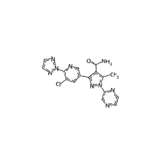 NC(=O)c1c(-c2cnc(-n3nccn3)c(Cl)c2)nn(-c2cnccn2)c1C(F)(F)F